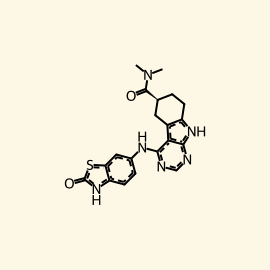 CN(C)C(=O)[C@H]1CCc2[nH]c3ncnc(Nc4ccc5[nH]c(=O)sc5c4)c3c2C1